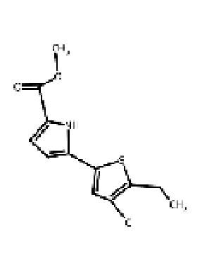 CCc1sc(-c2ccc(C(=O)OC)[nH]2)cc1Cl